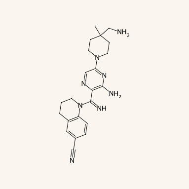 CC1(CN)CCN(c2cnc(C(=N)N3CCCc4cc(C#N)ccc43)c(N)n2)CC1